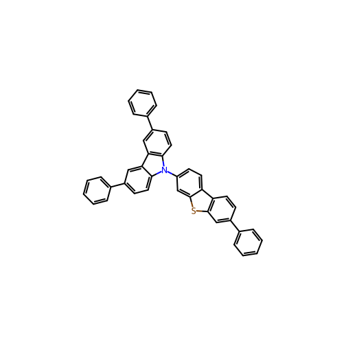 c1ccc(-c2ccc3c(c2)sc2cc(-n4c5ccc(-c6ccccc6)cc5c5cc(-c6ccccc6)ccc54)ccc23)cc1